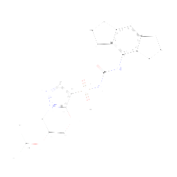 O=C(Nc1c2c(cc3c1CCC3)CCC2)NS(=O)(=O)c1cnn2c1OCC(OC(F)F)C2